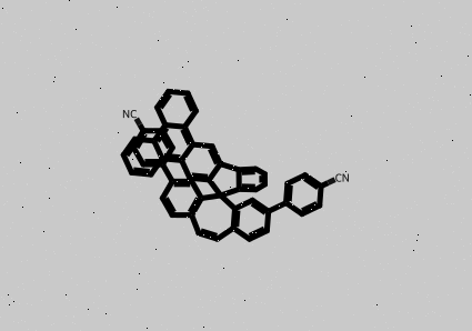 N#Cc1ccc(-c2ccc3c(c2)C2(c4cc(-c5ccc(C#N)cc5)ccc4C=C3)c3ccccc3-c3cc4c5ccccc5c5ccccc5c4cc32)cc1